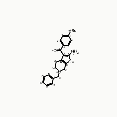 CC(C)(C)c1ccc(C(=O)c2c(N)sc3c2CCN(Cc2ccccc2)C3)cc1